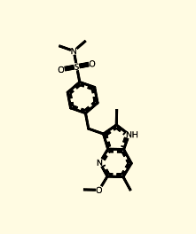 COc1nc2c(Cc3ccc(S(=O)(=O)N(C)C)cc3)c(C)[nH]c2cc1C